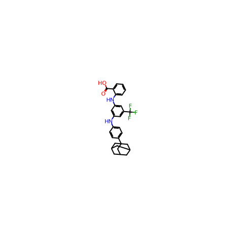 O=C(O)c1ccccc1Nc1cc(Nc2ccc(C34CC5CC(CC(C5)C3)C4)cc2)cc(C(F)(F)F)c1